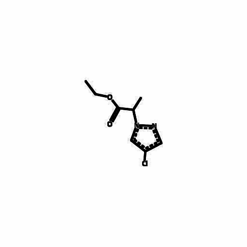 CCOC(=O)C(C)n1cc(Cl)cn1